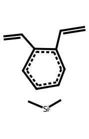 C=Cc1ccccc1C=C.C[Si]C